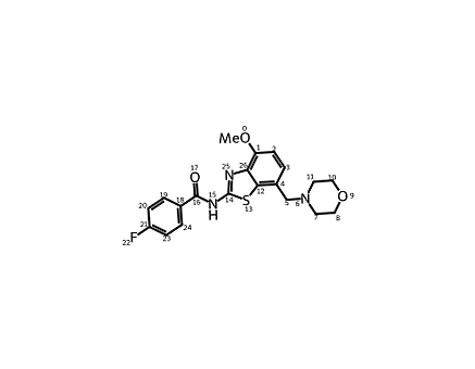 COc1ccc(CN2CCOCC2)c2sc(NC(=O)c3ccc(F)cc3)nc12